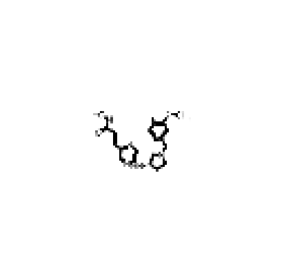 COc1cc(CN2CC[C@@H](Nc3cnc(C=CC(=O)NO)cn3)C2)ccc1F